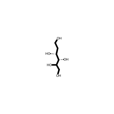 OCC[C@@H](O)[C@H](O)C(O)CO